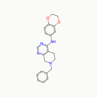 c1ccc(CN2CCc3c(ncnc3Nc3ccc4c(c3)OCCO4)C2)cc1